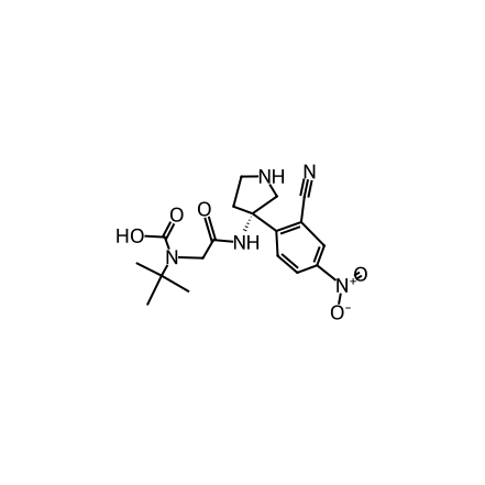 CC(C)(C)N(CC(=O)N[C@]1(c2ccc([N+](=O)[O-])cc2C#N)CCNC1)C(=O)O